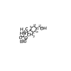 CC(C)(C)OC(=O)NC(C)(C)c1ccc(CO)cc1